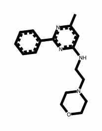 Cc1cc(NCCN2CCOCC2)nc(-c2ccccc2)n1